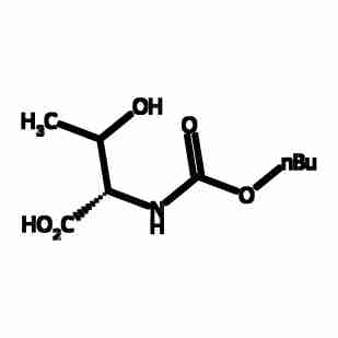 CCCCOC(=O)N[C@H](C(=O)O)C(C)O